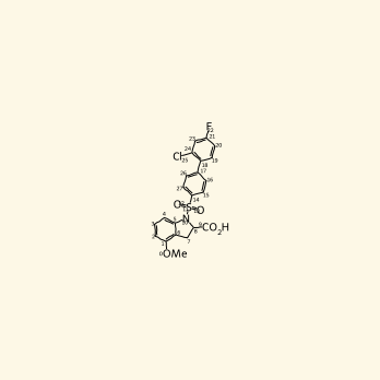 COc1cccc2c1CC(C(=O)O)N2S(=O)(=O)c1ccc(-c2ccc(F)cc2Cl)cc1